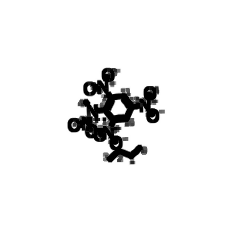 CCCC.CN(c1c([N+](=O)[O-])cc([N+](=O)[O-])cc1[N+](=O)[O-])[N+](=O)[O-]